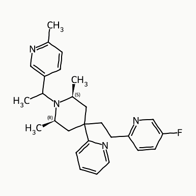 Cc1ccc(C(C)N2[C@H](C)CC(CCc3ccc(F)cn3)(c3ccccn3)C[C@@H]2C)cn1